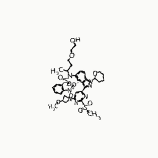 COC1CN(c2cc(-c3nn(C4CCCCO4)c4ccc(N(C(C)CCOCCO)S(=O)(=O)c5ccccc5[N+](=O)[O-])cc34)nc(S(C)(=O)=O)n2)C1